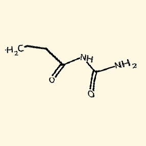 [CH2]CC(=O)NC(N)=O